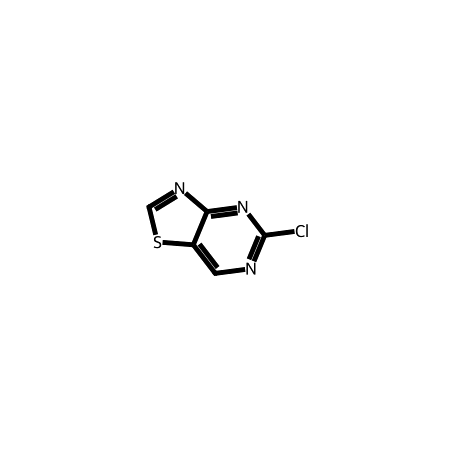 Clc1ncc2scnc2n1